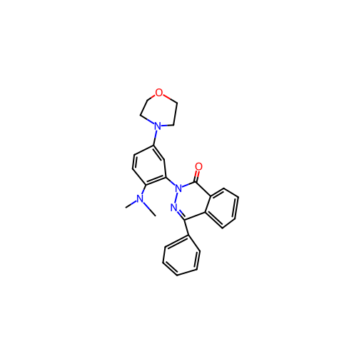 CN(C)c1ccc(N2CCOCC2)cc1-n1nc(-c2ccccc2)c2ccccc2c1=O